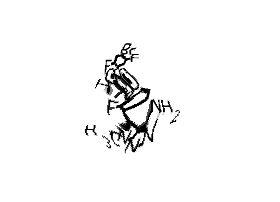 Cn1cc(-c2cccc(NS(=O)(=O)c3cc(F)c(Br)cc3F)c2F)c2c(N)ncnc21